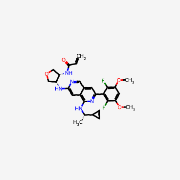 C=CC(=O)N[C@H]1COC[C@H]1Nc1cc2c(N[C@@H](C)C3CC3)nc(-c3c(F)c(OC)cc(OC)c3F)cc2cn1